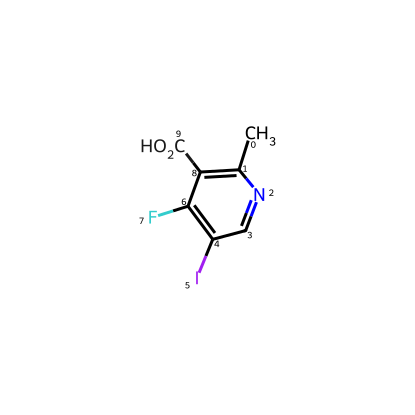 Cc1ncc(I)c(F)c1C(=O)O